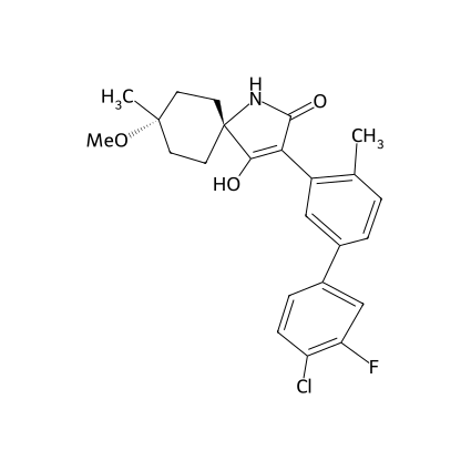 CO[C@]1(C)CC[C@@]2(CC1)NC(=O)C(c1cc(-c3ccc(Cl)c(F)c3)ccc1C)=C2O